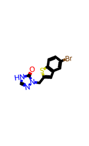 O=c1[nH]cnn1Cc1cc2cc(Br)ccc2s1